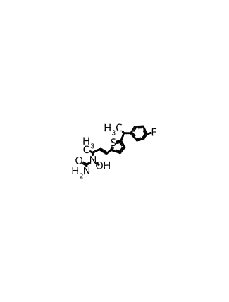 CC(c1ccc(F)cc1)c1ccc(C=CC(C)N(O)C(N)=O)s1